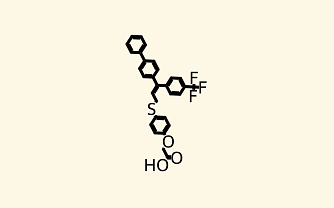 O=C(O)COc1ccc(SCC=C(c2ccc(-c3ccccc3)cc2)c2ccc(C(F)(F)F)cc2)cc1